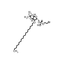 CCCCCCCCCCCCCCCCCCO[C@@H]1[C@H]2OC(C)(C)O[C@H]2O[C@@H]1COP(=O)(O)OCCBr